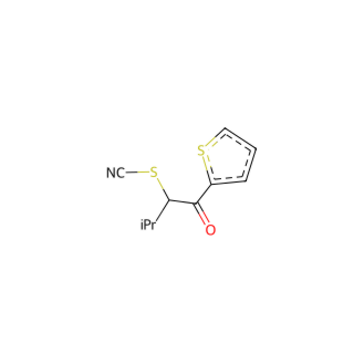 CC(C)C(SC#N)C(=O)c1cccs1